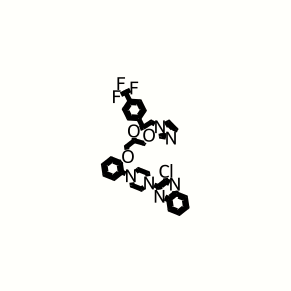 FC(F)(F)c1ccc(C2(Cn3ccnc3)OCC(COc3ccccc3N3CCN(c4nc5ccccc5nc4Cl)CC3)O2)cc1